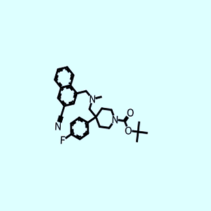 CN(Cc1cc(C#N)cc2ccccc12)CC1(c2ccc(F)cc2)CCN(C(=O)OC(C)(C)C)CC1